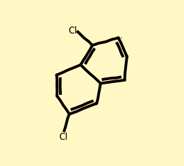 Clc1ccc2c(Cl)[c]ccc2c1